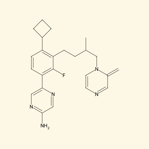 C=C1C=NC=CN1CC(C)CCc1c(C2CCC2)ccc(-c2cnc(N)cn2)c1F